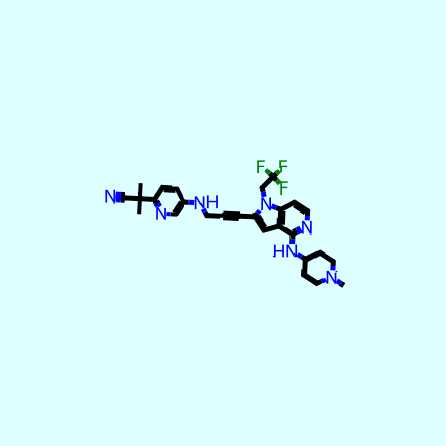 CN1CCC(Nc2nccc3c2cc(C#CCNc2ccc(C(C)(C)C#N)nc2)n3CC(F)(F)F)CC1